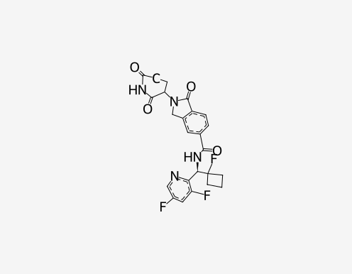 O=C1CCC(N2Cc3cc(C(=O)N[C@H](c4ncc(F)cc4F)C4(F)CCC4)ccc3C2=O)C(=O)N1